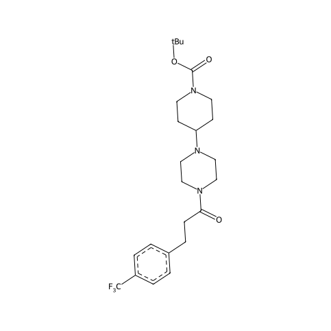 CC(C)(C)OC(=O)N1CCC(N2CCN(C(=O)CCc3ccc(C(F)(F)F)cc3)CC2)CC1